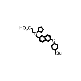 CC(C)(C)C1CCC(Oc2ccc3cc(CN(CCC(=O)O)C4CCCC4)ccc3c2)CC1